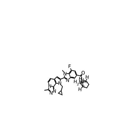 Cc1nnc2c3c(ccn12)cc(-c1nc2cc(C(=O)N4C[C@H]5CC[C@@H]4[C@@H]5N)cc(F)c2n1C)n3CC1CC1